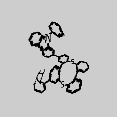 C1=CCNC(c2ccc3c(c2)Sc2ccccc2C2=CCCC=C2Sc2ccc(-c4ccc5c6ccccc6n(-c6ccccc6)c5c4)cc2-3)=C1